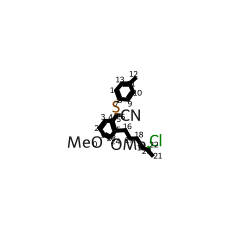 COc1ccc(C(C#N)Sc2ccc(C)cc2)c(CCCCC(C)Cl)c1OC